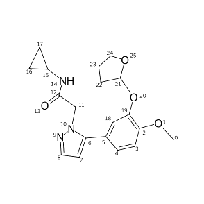 COc1ccc(-c2ccnn2CC(=O)NC2CC2)cc1OC1CCCO1